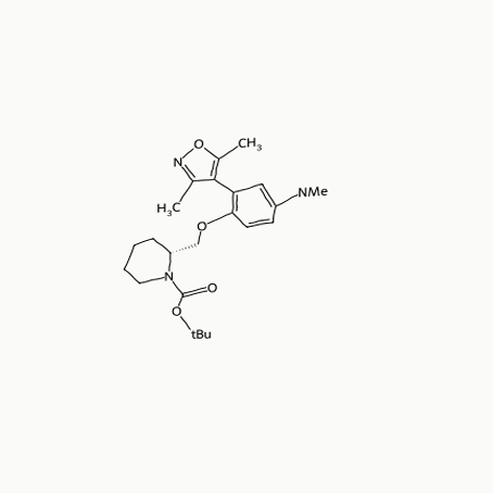 CNc1ccc(OC[C@H]2CCCCN2C(=O)OC(C)(C)C)c(-c2c(C)noc2C)c1